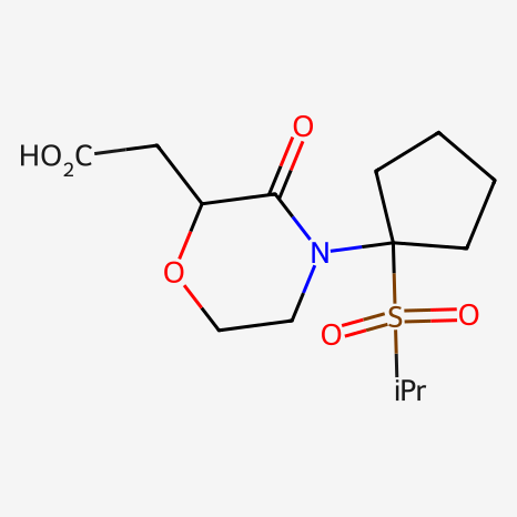 CC(C)S(=O)(=O)C1(N2CCOC(CC(=O)O)C2=O)CCCC1